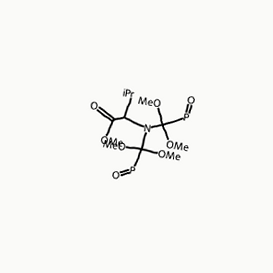 COC(=O)C(C(C)C)N(C(OC)(OC)P=O)C(OC)(OC)P=O